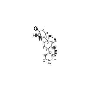 O=C1CCC(C2(F)C=CC(c3ccccc3F)C(F)=C2F)=NN1